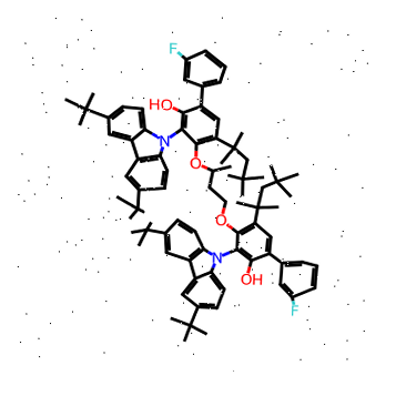 CC(CCOc1c(C(C)(C)CC(C)(C)C)cc(-c2cccc(F)c2)c(O)c1-n1c2ccc(C(C)(C)C)cc2c2cc(C(C)(C)C)ccc21)Oc1c(C(C)(C)CC(C)(C)C)cc(-c2cccc(F)c2)c(O)c1-n1c2ccc(C(C)(C)C)cc2c2cc(C(C)(C)C)ccc21